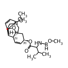 COBNC(C(=O)O[C@H]1C=C[C@@]23CCN(C)CC4=C2C(O[C@H]3C1)C(OC)C=C4)C(C)C